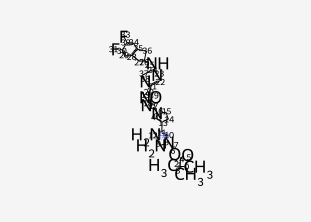 CC(C)(C)C(=O)OCN(N)/C=C(\N)C1CCN(c2nnc(-c3cnc(NC4Cc5cc(F)c(F)cc5C4)cn3)o2)C1